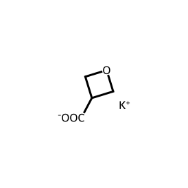 O=C([O-])C1COC1.[K+]